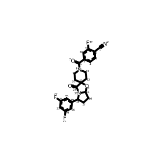 N#Cc1ccc(C(=O)N2CCC3(CC2)OC2CCC(c4cc(F)cc(F)c4)N2C3=O)cc1F